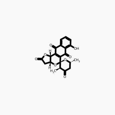 C[C@@H]1CC(=O)[C@@H](C)[C@]2(O1)O[C@@H]1CC(=O)O[C@@H]1C1=C2C(=O)c2c(O)cccc2C1=O